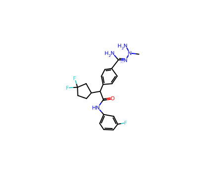 CN(N)/N=C(\N)c1ccc(C(C(=O)Nc2cccc(F)c2)C2CCC(F)(F)C2)cc1